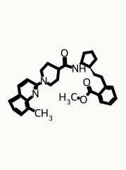 COC(=O)c1ccccc1CC[C@@H]1CCC[C@@H]1NC(=O)C1CCN(c2ccc3cccc(C)c3n2)CC1